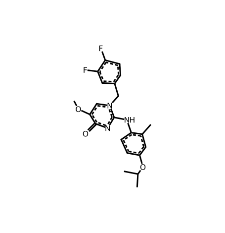 COc1cn(Cc2ccc(F)c(F)c2)c(Nc2ccc(OC(C)C)cc2C)nc1=O